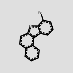 CC(C)c1cccc2c1oc1ccc3ccccc3c12